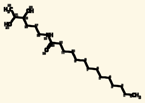 CCCCCCCCCCCCCC(=O)NCCCC(O)C(C)O